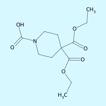 CCOC(=O)C1(C(=O)OCC)CCN(C(=O)O)CC1